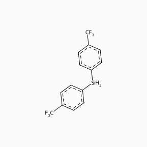 FC(F)(F)c1ccc([SiH2]c2ccc(C(F)(F)F)cc2)cc1